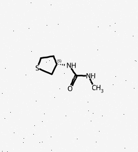 CNC(=O)N[C@H]1CCSC1